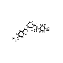 O[C@@H](CN1CCC[C@@H](CCc2ccc(C(F)(F)F)cc2)C1)c1ccc(Cl)cc1